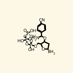 BC1CC(OC(N)c2ccc(C#N)cc2)C(COP(=O)(O)OP(=O)(O)OP(=O)(O)O)O1